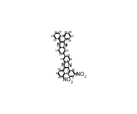 O=[N+]([O-])c1cccc(-c2nc3ccc(-c4ccc5nc(-c6ccccc6)c(-c6ccccc6)nc5c4)cc3nc2-c2cccc([N+](=O)[O-])c2)c1